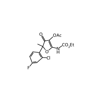 CCOC(=O)NC1=C(OC(C)=O)C(=O)C(C)(c2ccc(F)cc2Cl)O1